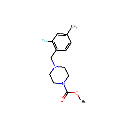 CC(C)(C)OC(=O)N1CCN(Cc2ccc(C(F)(F)F)cc2F)CC1